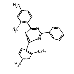 Cc1cc(N)ccc1-c1nc(-c2ccccc2)nc(-c2ccc(N)cc2C)n1